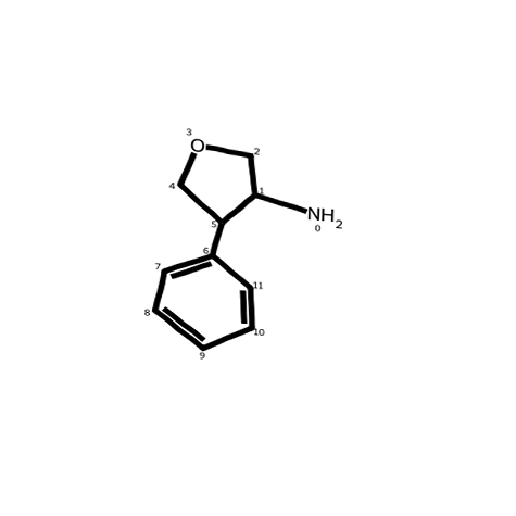 NC1COCC1c1ccccc1